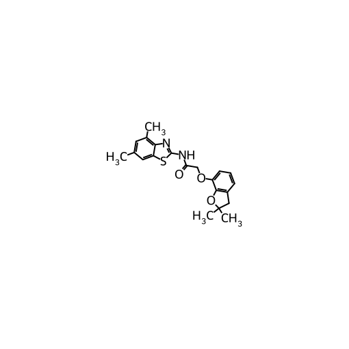 Cc1cc(C)c2nc(NC(=O)COc3cccc4c3OC(C)(C)C4)sc2c1